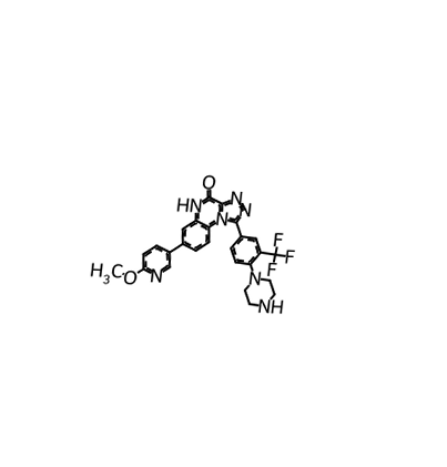 COc1ccc(-c2ccc3c(c2)[nH]c(=O)c2nnc(-c4ccc(N5CCNCC5)c(C(F)(F)F)c4)n23)cn1